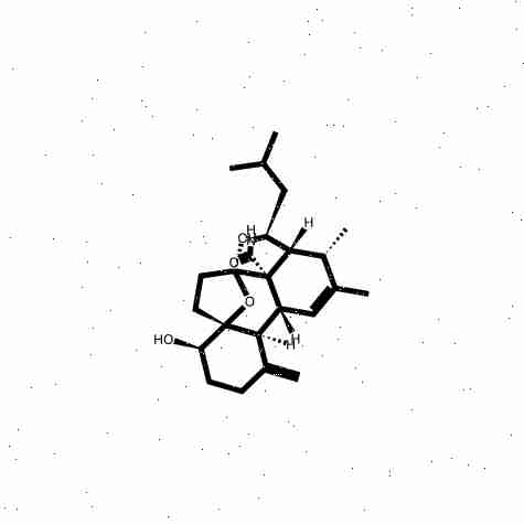 C=C1CC[C@@H](O)[C@]23CC[C@](O)(O2)[C@@]24C(=O)N[C@@H](CC(C)C)[C@@H]2[C@H](C)C(C)=C[C@@H]4[C@@H]13